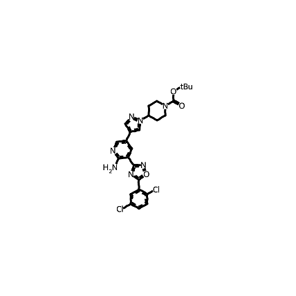 CC(C)(C)OC(=O)N1CCC(n2cc(-c3cnc(N)c(-c4noc(-c5cc(Cl)ccc5Cl)n4)c3)cn2)CC1